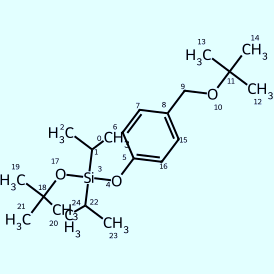 CC(C)[Si](Oc1ccc(COC(C)(C)C)cc1)(OC(C)(C)C)C(C)C